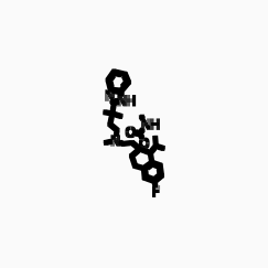 CNC(=O)OC1(CCN(C)CCC(C)(C)c2nc3ccccc3[nH]2)CCc2cc(F)ccc2C1C(C)C